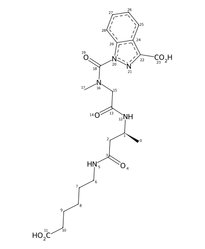 C[C@@H](CC(=O)NCCCCCC(=O)O)NC(=O)CN(C)C(=O)n1nc(C(=O)O)c2ccccc21